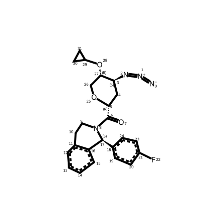 [N-]=[N+]=N[C@H]1C[C@H](C(=O)N2CCc3ccccc3[C@@H]2c2ccc(F)cc2)OC[C@@H]1OC1CC1